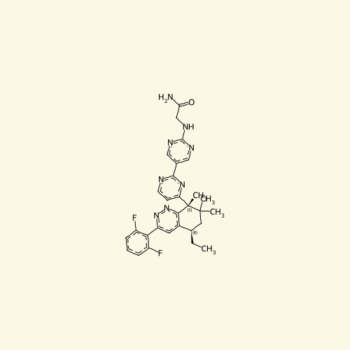 CC[C@@H]1CC(C)(C)[C@@](C)(c2ccnc(-c3cnc(NCC(N)=O)nc3)n2)c2nnc(-c3c(F)cccc3F)cc21